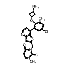 Cc1cc(Cl)cc(-c2ccnc3cc(Cn4c(=O)ccn(C)c4=O)sc23)c1O[C@H]1C[C@H](N)C1